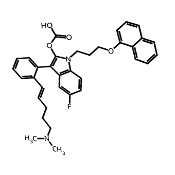 CN(C)CCC/C=C/c1ccccc1-c1c(OC(=O)O)n(CCCOc2cccc3ccccc23)c2ccc(F)cc12